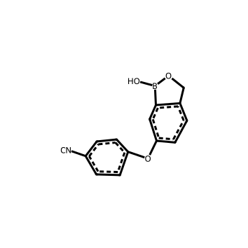 [C-]#[N+]c1ccc(Oc2ccc3c(c2)B(O)OC3)cc1